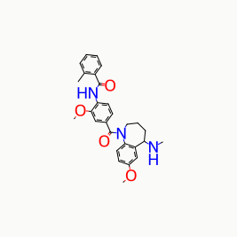 CNC1CCCN(C(=O)c2ccc(NC(=O)c3ccccc3C)c(OC)c2)c2ccc(OC)cc21